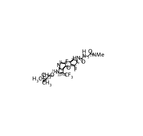 CNC(=O)CNC(=O)Nc1cc(F)c(Oc2ccnc3c2c(C(F)(F)F)cn3COCC[Si](C)(C)C)c(F)c1